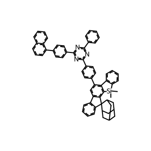 C[Si]1(C)c2ccccc2-c2c(-c3ccc(-c4nc(-c5ccccc5)nc(-c5ccc(-c6cccc7ccccc67)cc5)n4)cc3)cc3c(c21)C1(c2ccccc2-3)C2CC3CC(C2)CC1C3